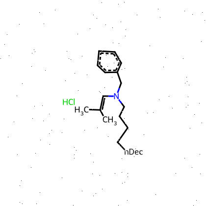 CCCCCCCCCCCCCCN(C=C(C)C)Cc1ccccc1.Cl